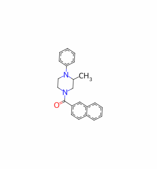 CC1CN(C(=O)c2ccc3ccccc3c2)CCN1c1ccccc1